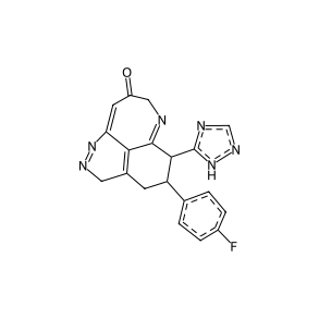 O=C1C=C2N=NCC3=C2C(=NC1)C(c1ncn[nH]1)C(c1ccc(F)cc1)C3